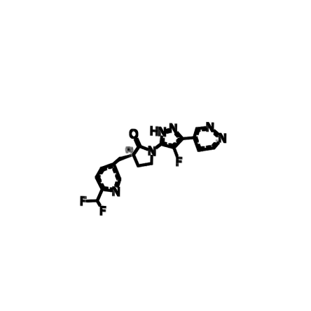 O=C1[C@H](Cc2ccc(C(F)F)nc2)CCN1c1[nH]nc(-c2ccnnc2)c1F